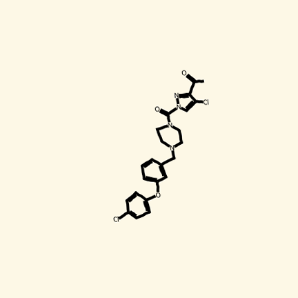 CC(=O)c1nn(C(=O)N2CCN(Cc3cccc(Oc4ccc(Cl)cc4)c3)CC2)cc1Cl